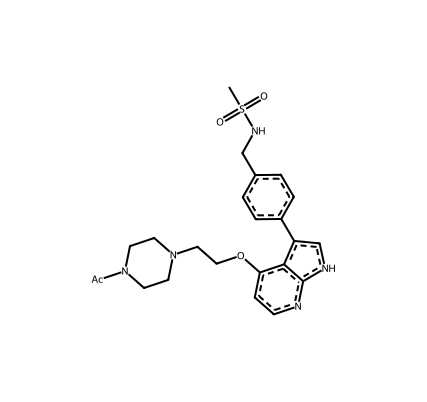 CC(=O)N1CCN(CCOc2ccnc3[nH]cc(-c4ccc(CNS(C)(=O)=O)cc4)c23)CC1